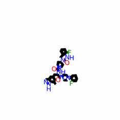 Cc1cc(CC(NC(=O)N2CCC(N3Cc4cccc(F)c4NC3=O)CC2)C(=O)N2CCN(c3ccccc3F)CC2)cc2cn[nH]c12